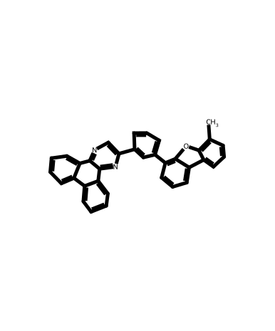 Cc1cccc2c1oc1c(-c3cccc(-c4cnc5c6ccccc6c6ccccc6c5n4)c3)cccc12